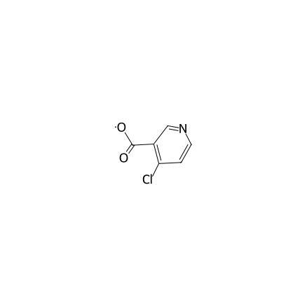 [O]C(=O)c1cnccc1Cl